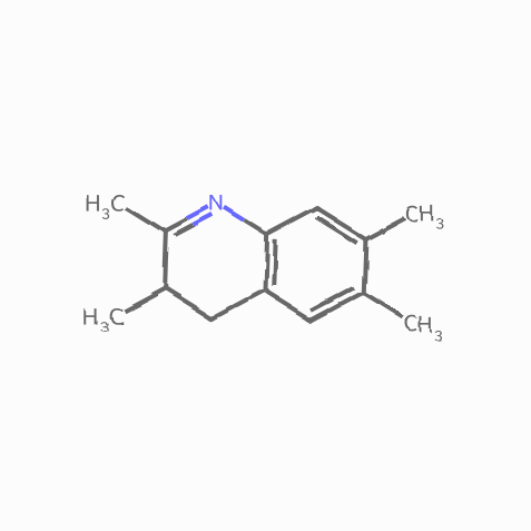 CC1=Nc2cc(C)c(C)cc2CC1C